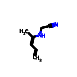 C=C/C=C(/C)NCC#N